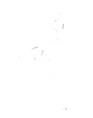 CCCCCCCCCCCCCCCCCCOc1cc(C)ccc1COC(=O)c1ccc(Br)cc1